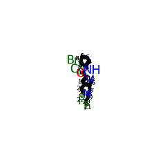 O=C(Nc1cccc(Br)c1Cl)c1cc2c(cn1)CN(CC(F)F)CC2